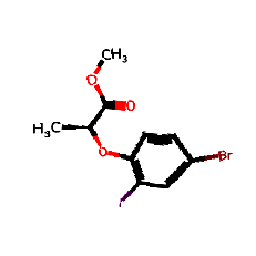 COC(=O)[C@H](C)Oc1ccc(Br)cc1I